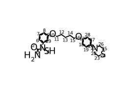 NC(=O)N(S)c1cccc(OCCCCCOc2ccc(N3CCSCC3)cc2)c1